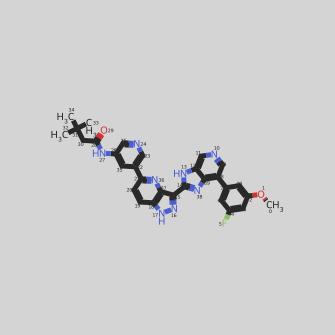 COc1cc(F)cc(-c2cncc3[nH]c(-c4n[nH]c5ccc(-c6cncc(NC(=O)CC(C)(C)C)c6)nc45)nc23)c1